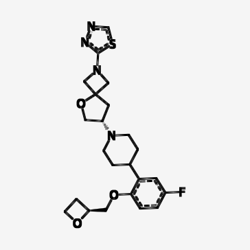 Fc1ccc(OC[C@@H]2CCO2)c(C2CCN([C@@H]3COC4(C3)CN(c3nncs3)C4)CC2)c1